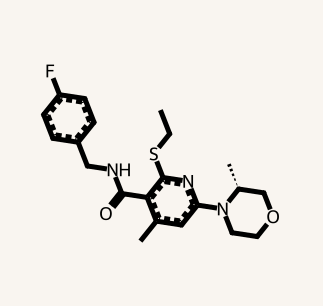 CCSc1nc(N2CCOC[C@H]2C)cc(C)c1C(=O)NCc1ccc(F)cc1